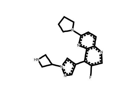 Fc1cnc2ccc(N3CCCC3)nc2c1-c1cnn(C2CNC2)c1